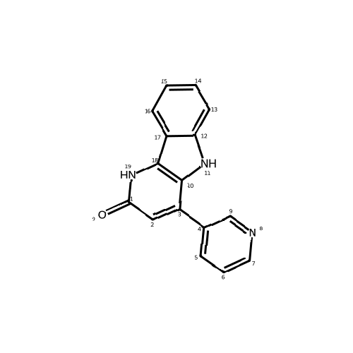 O=c1cc(-c2cccnc2)c2[nH]c3ccccc3c2[nH]1